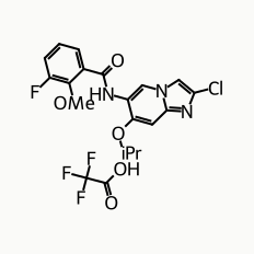 COc1c(F)cccc1C(=O)Nc1cn2cc(Cl)nc2cc1OC(C)C.O=C(O)C(F)(F)F